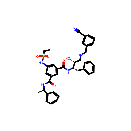 CCS(=O)(=O)Nc1cc(C(=O)N[C@@H](Cc2ccccc2)[C@H](O)CNCc2cccc(C#N)c2)cc(C(=O)N[C@H](C)c2ccccc2)c1